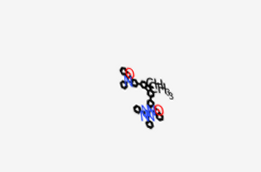 CC1(C)c2ccc(-c3ccc4c(c3)C3Oc5ccccc5C3N4c3ccccc3)cc2-c2cc(-c3ccc4c(c3)C3Oc5ccccc5C3N4c3nc(-c4ccccc4)nc(-c4ccccc4)n3)ccc21